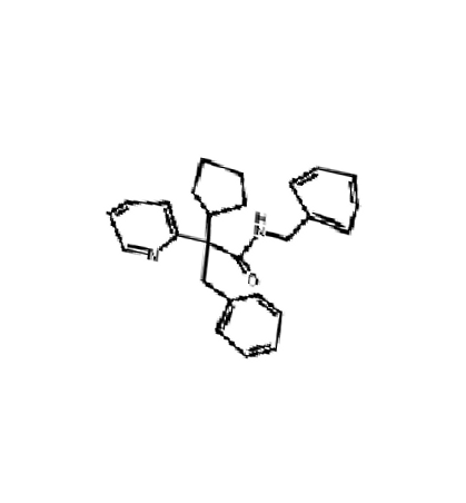 O=C(NCc1ccccc1)C(Cc1ccccc1)(c1ccccn1)C1CCCC1